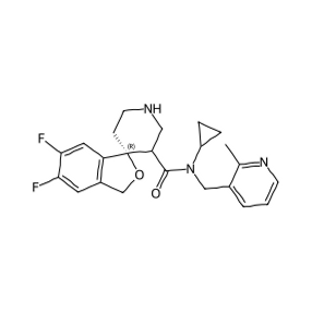 Cc1ncccc1CN(C(=O)C1CNCC[C@@]12OCc1cc(F)c(F)cc12)C1CC1